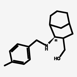 Cc1ccc(CN[C@H]2C(CO)CC3CCCC2C3)cc1